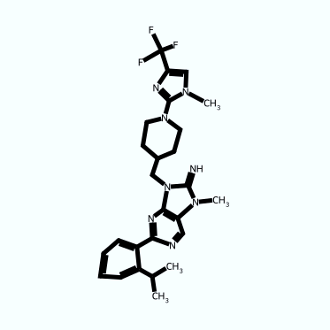 CC(C)c1ccccc1-c1ncc2c(n1)n(CC1CCN(c3nc(C(F)(F)F)cn3C)CC1)c(=N)n2C